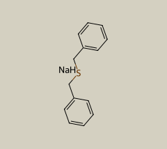 [NaH].c1ccc(CSCc2ccccc2)cc1